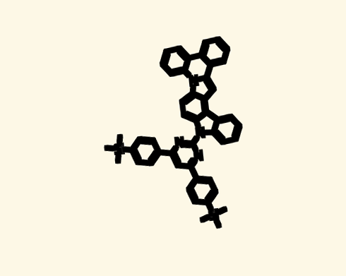 C[Si](C)(C)c1ccc(-c2cc(-c3ccc([Si](C)(C)C)cc3)nc(-n3c4ccccc4c4c5cc6c7ccccc7c7ccccc7n6c5ccc43)n2)cc1